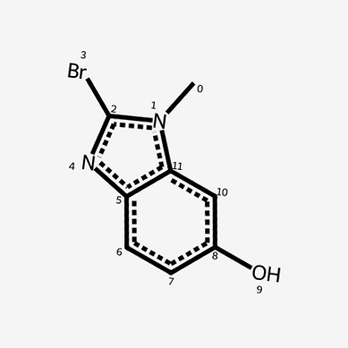 Cn1c(Br)nc2ccc(O)cc21